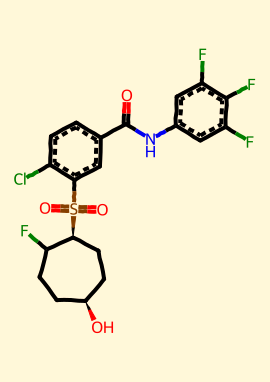 O=C(Nc1cc(F)c(F)c(F)c1)c1ccc(Cl)c(S(=O)(=O)[C@H]2CC[C@@H](O)CCC2F)c1